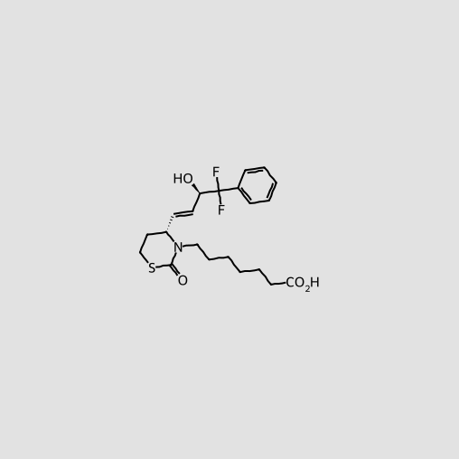 O=C(O)CCCCCCN1C(=O)SCC[C@@H]1/C=C/[C@@H](O)C(F)(F)c1ccccc1